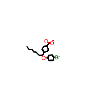 CCCCCCC(Oc1ccc(Br)cc1)c1ccc(C(=O)OC)cc1